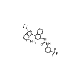 Nc1nccn2c(C3CCC3)nc(-c3ccc(NC(=O)Nc4cccc(C(F)(F)F)c4)c4ccccc34)c12